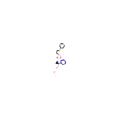 NC(=O)OCC[C@@]1(c2ccccc2)C[C@]1(NS(=O)(=O)c1ccc(-c2ccc(Cl)cc2)s1)C(=O)O